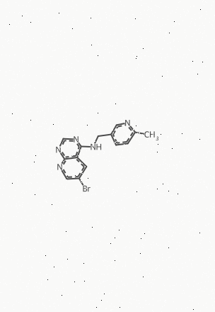 Cc1ccc(CNc2ncnc3ncc(Br)cc23)cn1